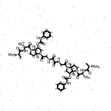 CN[C@@H](C)C(=O)N[C@H](C(=O)N1CC[C@@H]2[C@H]1[C@@H](OC(=O)Nc1ccccc1)CN2C(=O)CNC(=O)C(=O)NCC(=O)N1C[C@H](OC(=O)Nc2ccccc2)[C@@H]2[C@H]1CCN2C(=O)[C@@H](NC(=O)[C@H](C)NC)C(C)(C)C)C(C)(C)C